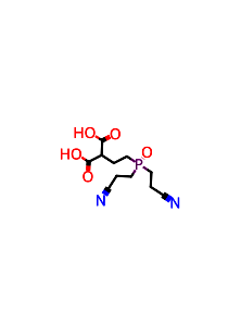 N#CCCP(=O)(CCC#N)CCC(C(=O)O)C(=O)O